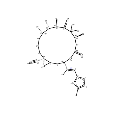 C/C(=C\c1csc(C)n1)[C@@H]1CC2O[C@@]2(C#N)CCC[C@H](C)[C@H](C)[C@@H](C)C(=O)C(C)(C)[C@@H](C)CC(=O)O1